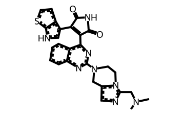 CN(C)Cc1ncc2n1CCN(c1nc(C3=C(c4c[nH]c5sccc45)C(=O)NC3=O)c3ccccc3n1)C2